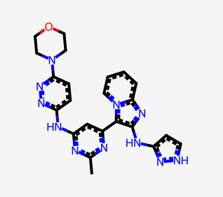 Cc1nc(Nc2ccc(N3CCOCC3)nn2)cc(-c2c(Nc3cc[nH]n3)nc3ccccn23)n1